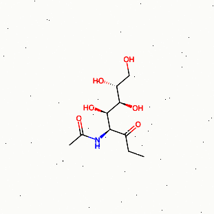 CCC(=O)[C@@H](NC(C)=O)[C@@H](O)[C@H](O)[C@H](O)CO